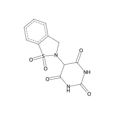 O=C1NC(=O)C(N2Cc3ccccc3S2(=O)=O)C(=O)N1